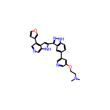 CN(C)CCOc1cncc(-c2ccc3[nH]nc(-c4cc5c(-c6ccoc6)cncc5[nH]4)c3c2)c1